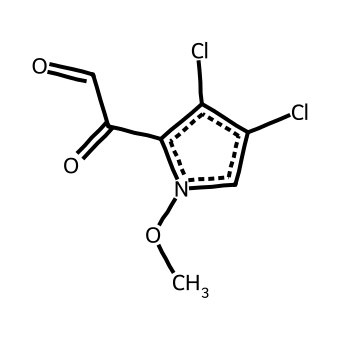 COn1cc(Cl)c(Cl)c1C(=O)C=O